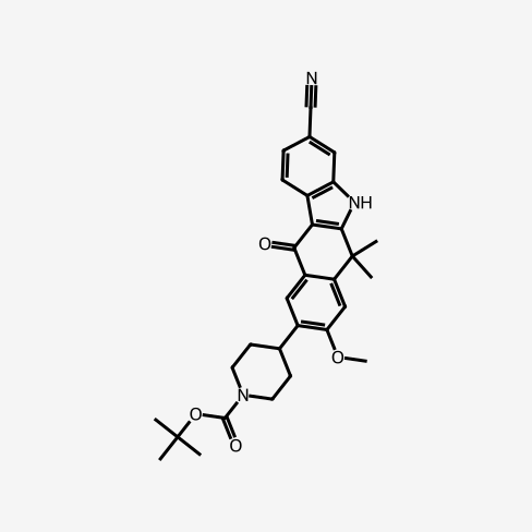 COc1cc2c(cc1C1CCN(C(=O)OC(C)(C)C)CC1)C(=O)c1c([nH]c3cc(C#N)ccc13)C2(C)C